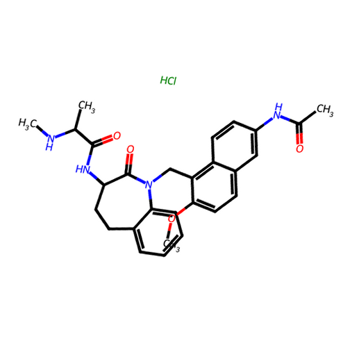 CNC(C)C(=O)NC1CCc2ccccc2N(Cc2c(OC)ccc3cc(NC(C)=O)ccc23)C1=O.Cl